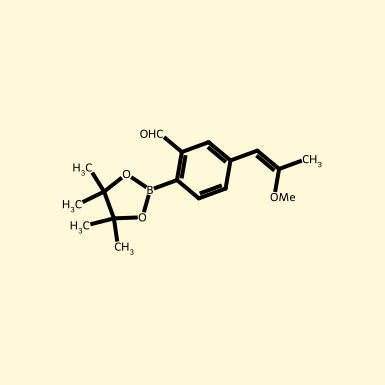 CO/C(C)=C\c1ccc(B2OC(C)(C)C(C)(C)O2)c(C=O)c1